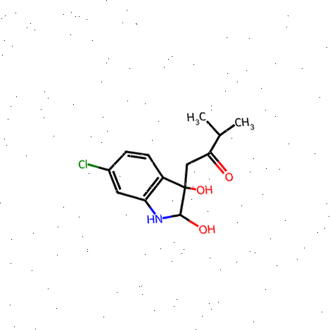 CC(C)C(=O)CC1(O)c2ccc(Cl)cc2NC1O